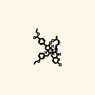 C=C(Cl)/C=C\C=C(/F)[C@H]1[C@@H]2C(=O)N(c3ccc(C(=O)OCC)cc3)C[C@@H]2N(Cc2cccc(OCC)c2)[C@]12Cc1ccc(Cl)nc1NC2=O